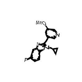 COc1cncc(-c2nc3cc(F)ccc3n2C2CC2)c1